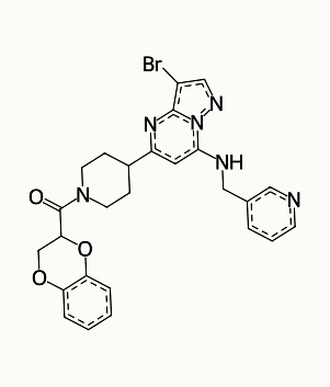 O=C(C1COc2ccccc2O1)N1CCC(c2cc(NCc3cccnc3)n3ncc(Br)c3n2)CC1